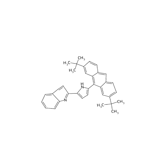 CC(C)(C)c1ccc2cc3ccc(C(C)(C)C)cc3c(-c3ccc(-c4ccc5ccccc5n4)[nH]3)c2c1